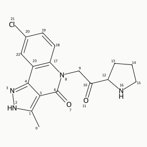 Cc1[nH]nc2c1c(=O)n(CC(=O)C1CCCN1)c1ccc(Cl)cc21